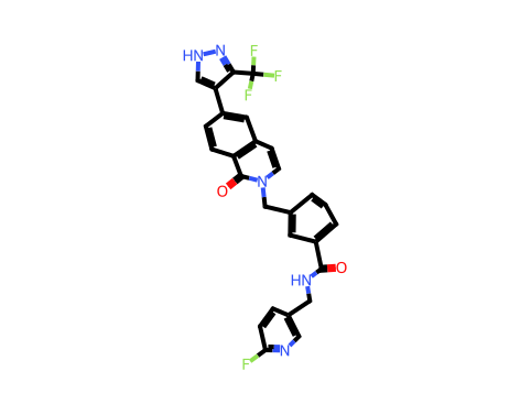 O=C(NCc1ccc(F)nc1)c1cccc(Cn2ccc3cc(-c4c[nH]nc4C(F)(F)F)ccc3c2=O)c1